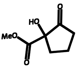 COC(=O)C1(O)CCCC1=O